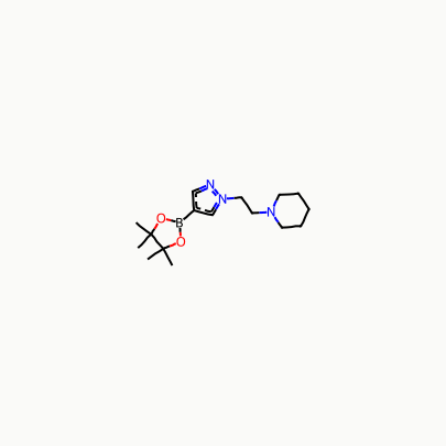 CC1(C)OB(c2cnn(CCN3CCCCC3)c2)OC1(C)C